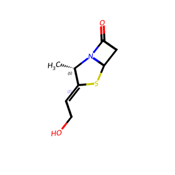 C[C@H]1/C(=C/CO)SC2CC(=O)N21